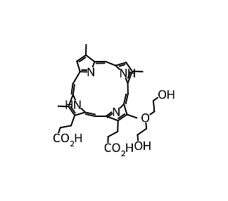 CC1=Cc2cc3[nH]c(cc4nc(cc5[nH]c(cc1n2)cc5C)C(C)=C4CCC(=O)O)c(CCC(=O)O)c3C.OCCOCCO